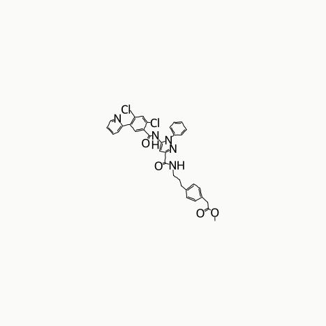 COC(=O)Cc1ccc(CCCNC(=O)c2cc(NC(=O)c3cc(-c4ccccn4)c(Cl)cc3Cl)n(-c3ccccc3)n2)cc1